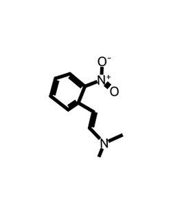 CN(C)C=Cc1ccccc1[N+](=O)[O-]